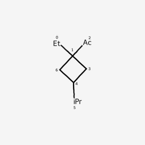 CCC1(C(C)=O)CC(C(C)C)C1